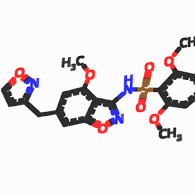 COc1cccc(OC)c1S(=O)(=O)Nc1noc2cc(Cc3ccon3)cc(OC)c12